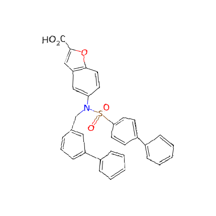 O=C(O)c1cc2cc(N(Cc3cccc(-c4ccccc4)c3)S(=O)(=O)c3ccc(-c4ccccc4)cc3)ccc2o1